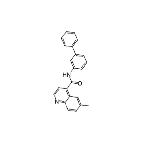 Cc1ccc2nccc(C(=O)Nc3cccc(-c4ccccc4)c3)c2c1